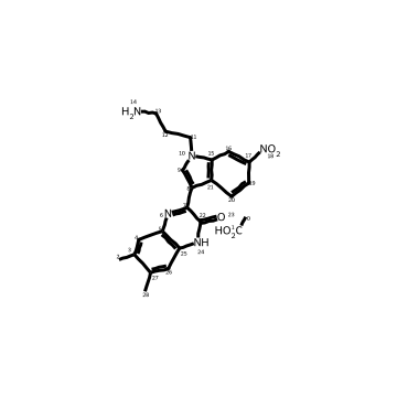 CC(=O)O.Cc1cc2nc(-c3cn(CCCN)c4cc([N+](=O)[O-])ccc34)c(=O)[nH]c2cc1C